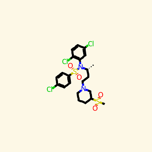 C[C@H](CCN1CCCC(S(C)(=O)=O)C1)N(c1cc(Cl)ccc1Cl)S(=O)(=O)c1ccc(Cl)cc1